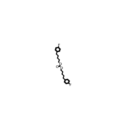 O=C(OCCCCCc1ccc(F)cc1)OCCCCCc1ccc(F)cc1